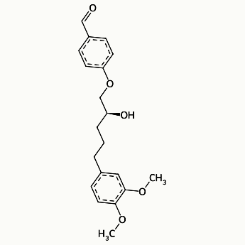 COc1ccc(CCC[C@H](O)COc2ccc(C=O)cc2)cc1OC